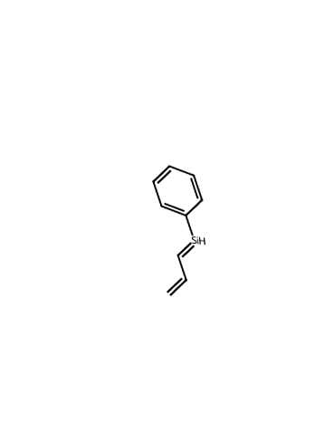 C=CC=[SiH]c1ccccc1